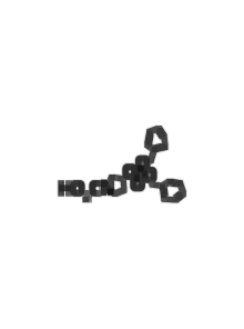 O=C(O)N1CC[C@@H](OP(=O)(OCc2ccccc2)OCc2ccccc2)C1